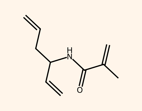 C=CCC(C=C)NC(=O)C(=C)C